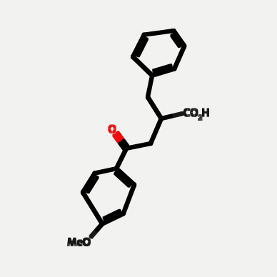 COc1ccc(C(=O)CC(Cc2ccccc2)C(=O)O)cc1